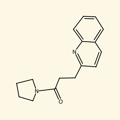 O=C(CCc1ccc2ccccc2n1)N1CCCC1